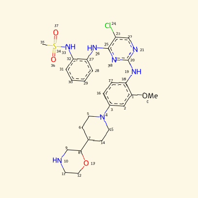 COc1cc(N2CCC(C3CNCCO3)CC2)ccc1Nc1ncc(Cl)c(Nc2ccccc2NS(C)(=O)=O)n1